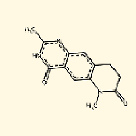 Cc1nc2cc3c(cc2c(=O)[nH]1)N(C)C(=O)CC3